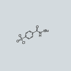 CC(C)(C)NC(=O)c1ccc(S(=O)(=O)Cl)cc1